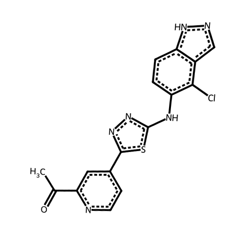 CC(=O)c1cc(-c2nnc(Nc3ccc4[nH]ncc4c3Cl)s2)ccn1